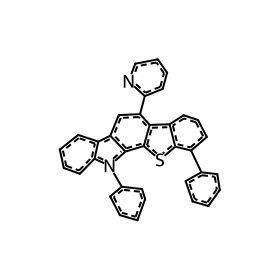 c1ccc(-c2cccc3c2sc2c3c(-c3ccccn3)cc3c4ccccc4n(-c4ccccc4)c32)cc1